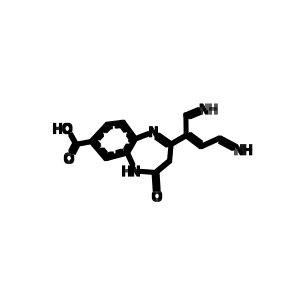 N=C/C=C(\C=N)C1=Nc2ccc(C(=O)O)cc2NC(=O)C1